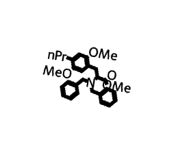 CCCc1cc(OC)c(CC(C(=O)OC)N(Cc2ccccc2)Cc2ccccc2)cc1OC